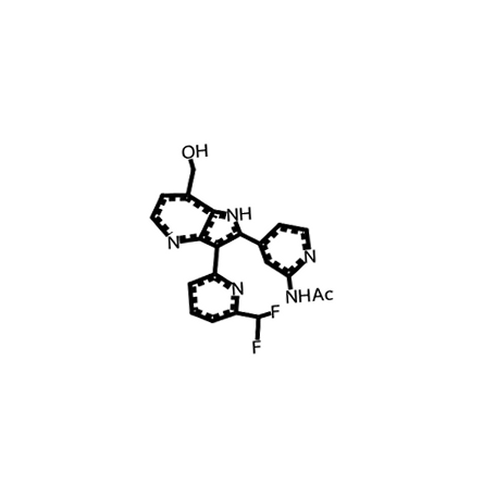 CC(=O)Nc1cc(-c2[nH]c3c(CO)ccnc3c2-c2cccc(C(F)F)n2)ccn1